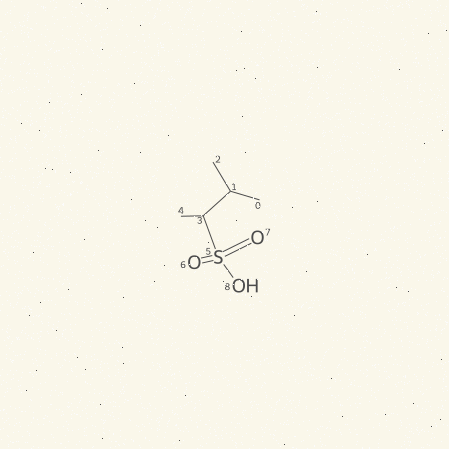 CC(C)C(C)S(=O)(=O)O